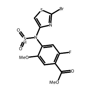 COC(=O)c1cc(OC)c(N(c2csc(Br)n2)[SH](=O)=O)cc1F